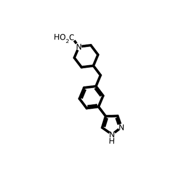 O=C(O)N1CCC(Cc2cccc(-c3cn[nH]c3)c2)CC1